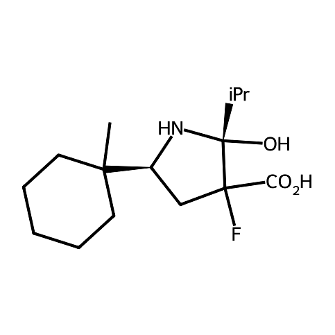 CC(C)[C@]1(O)N[C@H](C2(C)CCCCC2)CC1(F)C(=O)O